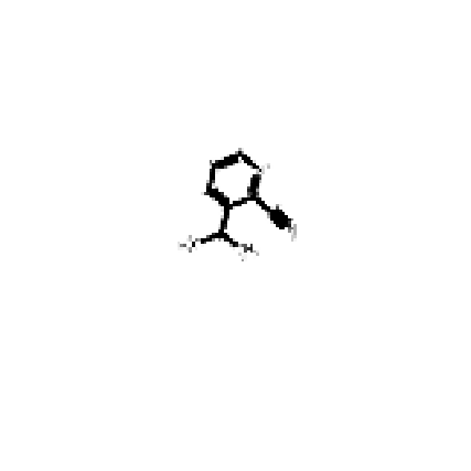 CC(C)c1cccnc1C#N